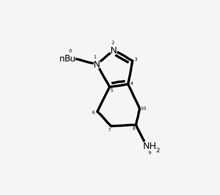 CCCCn1ncc2c1CCC(N)C2